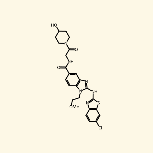 COCCn1c(Nc2nc3ccc(Cl)cc3s2)nc2cc(C(=O)NCC(=O)N3CCC(O)CC3)ccc21